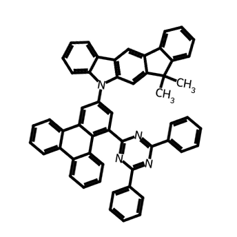 CC1(C)c2ccccc2-c2cc3c4ccccc4n(-c4cc(-c5nc(-c6ccccc6)nc(-c6ccccc6)n5)c5c6ccccc6c6ccccc6c5c4)c3cc21